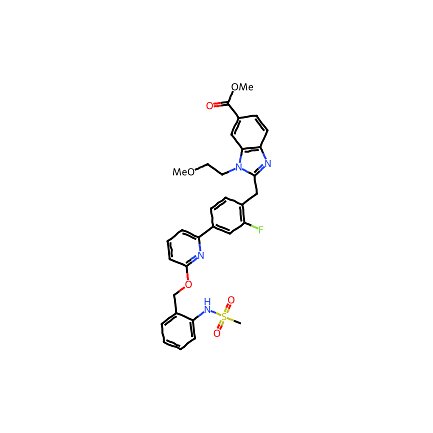 COCCn1c(Cc2ccc(-c3cccc(OCc4ccccc4NS(C)(=O)=O)n3)cc2F)nc2ccc(C(=O)OC)cc21